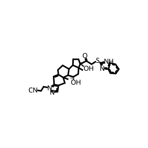 [C-]#[N+]CCn1ncc2c1C=C1CCC3C([C@@H](O)CC4(C)C3CC[C@]4(O)C(=O)CSc3nc4ccccc4[nH]3)C1(C)C2